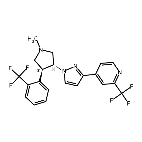 CN1C[C@H](c2ccccc2C(F)(F)F)[C@@H](n2ccc(-c3ccnc(C(F)(F)F)c3)n2)C1